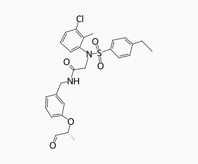 CCc1ccc(S(=O)(=O)N(CC(=O)NCc2cccc(O[C@H](C)C=O)c2)c2cccc(Cl)c2C)cc1